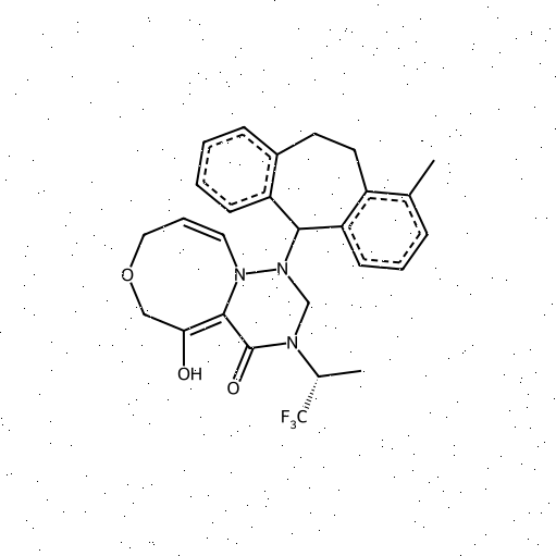 Cc1cccc2c1CCc1ccccc1C2N1CN([C@H](C)C(F)(F)F)C(=O)/C2=C(\O)COC/C=C\N21